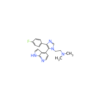 CN(C)CCn1cnc(-c2ccc(F)cc2)c1-c1ccnc2[nH]ccc12